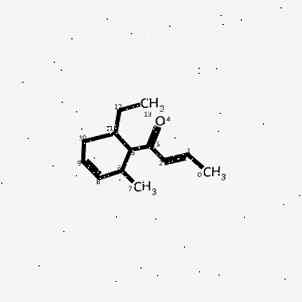 CC=CC(=O)C1C(C)C=CCC1CC